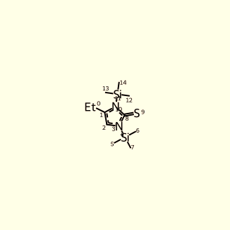 CCc1cn([Si](C)(C)C)c(=S)n1[Si](C)(C)C